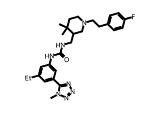 CCc1cc(NC(=O)NCC2CN(CCc3ccc(F)cc3)CCC2(C)C)cc(-c2nnnn2C)c1